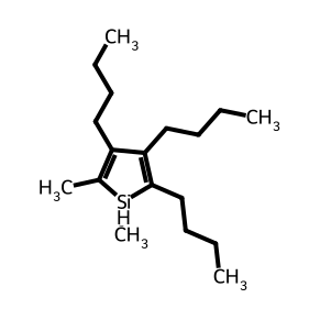 CCCCC1=C(C)[SiH](C)C(CCCC)=C1CCCC